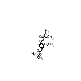 CCOc1cc(CC(=O)OC(C)C)ccc1OCC(=O)N(CC)CC